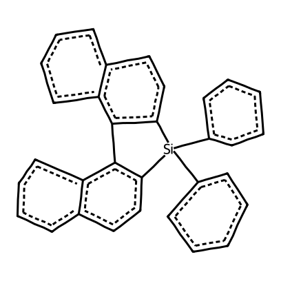 c1ccc([Si]2(c3ccccc3)c3ccc4ccccc4c3-c3c2ccc2ccccc32)cc1